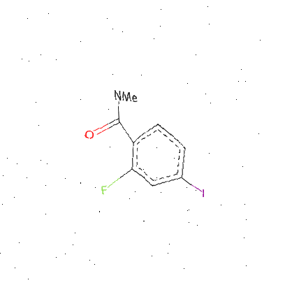 CNC(=O)c1ccc(I)cc1F